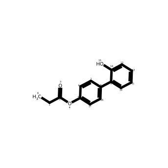 CCC(=O)Oc1ccc(-c2ccccc2O)cc1